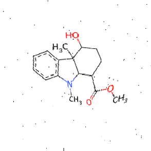 COC(=O)C1CCC(O)C2(C)c3ccccc3N(C)C12